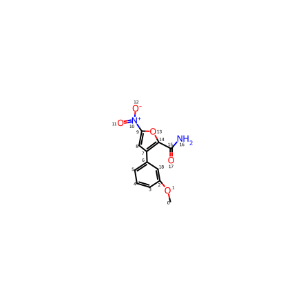 COc1cccc(-c2cc([N+](=O)[O-])oc2C(N)=O)c1